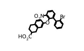 O=C(O)C1CCc2ccc(Oc3c(-c4ccccc4Br)cccc3[N+](=O)[O-])cc2C1